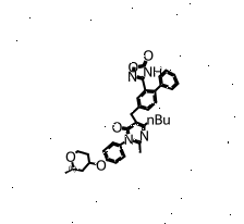 CCCCc1nc(C)n(-c2ccc(OC3CCO[C@H](C)C3)cc2)c(=O)c1Cc1ccc(-c2ccccc2)c(-c2noc(=O)[nH]2)c1